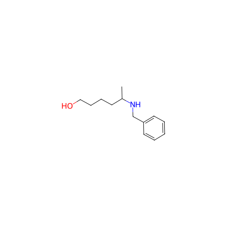 CC(CCCCO)NCc1ccccc1